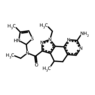 CCN(C(=O)c1nn(CC)c2c1C(C)Cc1cnc(N)nc1-2)C1NC(C)=CS1